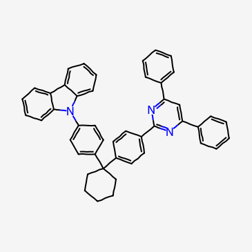 c1ccc(-c2cc(-c3ccccc3)nc(-c3ccc(C4(c5ccc(-n6c7ccccc7c7ccccc76)cc5)CCCCC4)cc3)n2)cc1